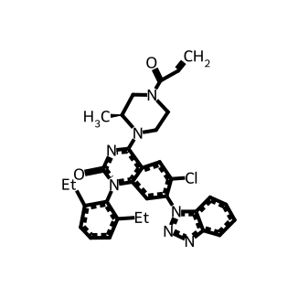 C=CC(=O)N1CCN(c2nc(=O)n(-c3c(CC)cccc3CC)c3cc(-n4nnc5ccccc54)c(Cl)cc23)[C@@H](C)C1